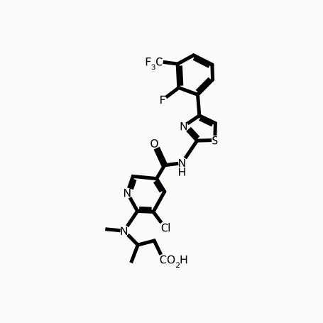 CC(CC(=O)O)N(C)c1ncc(C(=O)Nc2nc(-c3cccc(C(F)(F)F)c3F)cs2)cc1Cl